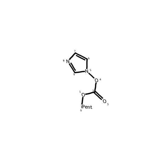 CCCC(C)OC(=O)On1ccnc1